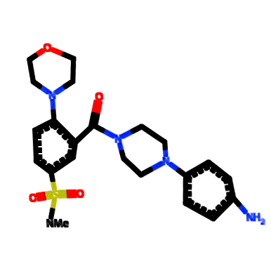 CNS(=O)(=O)c1ccc(N2CCOCC2)c(C(=O)N2CCN(c3ccc(N)cc3)CC2)c1